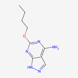 CCCCOc1nc(N)c2cn[nH]c2n1